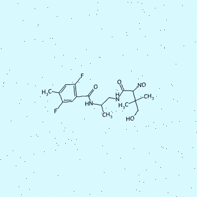 Cc1cc(F)c(C(=O)NC(C)CNC(=O)C(N=O)C(C)(C)CO)cc1F